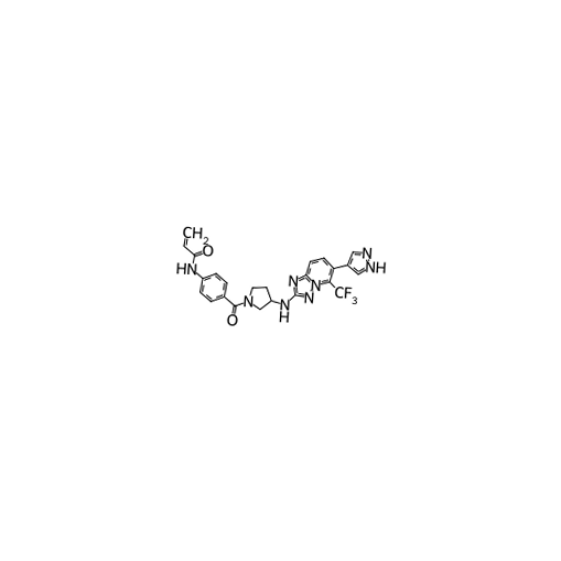 C=CC(=O)Nc1ccc(C(=O)N2CCC(Nc3nc4ccc(-c5cn[nH]c5)c(C(F)(F)F)n4n3)C2)cc1